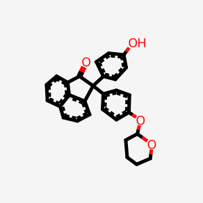 O=C1c2cccc3cccc(c23)C1(c1ccc(O)cc1)c1ccc(OC2CCCCO2)cc1